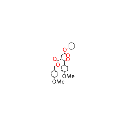 COc1ccc(COC(=O)[C@@H](CC(=O)OC2CCCCC2)C(=O)c2ccc(OC)cc2)cc1